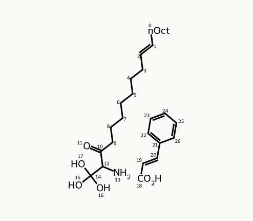 CCCCCCCCC=CCCCCCCCC(=O)C(N)C(O)(O)O.O=C(O)C=Cc1ccccc1